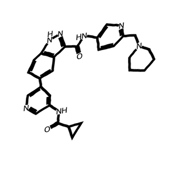 O=C(Nc1ccc(CN2CCCCC2)nc1)c1n[nH]c2ccc(-c3cncc(NC(=O)C4CC4)c3)cc12